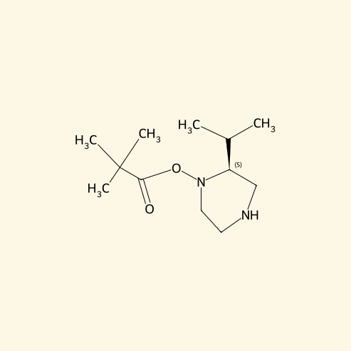 CC(C)[C@H]1CNCCN1OC(=O)C(C)(C)C